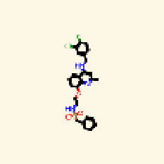 Cc1cc(NCc2ccc(Cl)c(Cl)c2)c2cccc(OCCNS(=O)(=O)Cc3ccccc3)c2n1